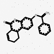 C=C(Oc1ccc2c3c(c(=O)oc2c1)C=CCC3)c1ccccc1